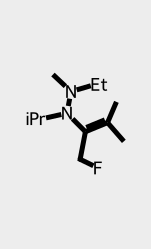 CCN(C)N(C(CF)=C(C)C)C(C)C